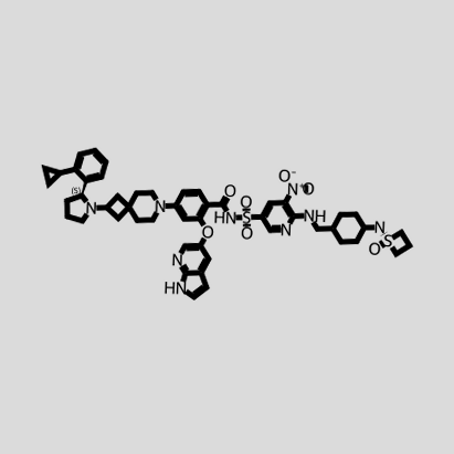 O=C(NS(=O)(=O)c1cnc(NCC2CCC(N=S3(=O)CCC3)CC2)c([N+](=O)[O-])c1)c1ccc(N2CCC3(CC2)CC(N2CCC[C@H]2c2ccccc2C2CC2)C3)cc1Oc1cnc2[nH]ccc2c1